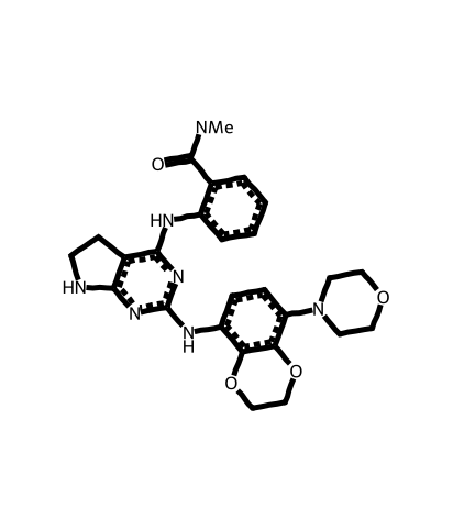 CNC(=O)c1ccccc1Nc1nc(Nc2ccc(N3CCOCC3)c3c2OCCO3)nc2c1CCN2